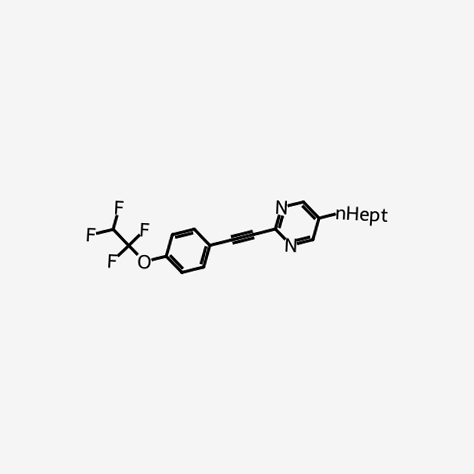 CCCCCCCc1cnc(C#Cc2ccc(OC(F)(F)C(F)F)cc2)nc1